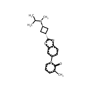 Cc1cccn(-c2ccc3nc([C@H]4C[C@H](N(C)C(C)C)C4)sc3c2)c1=O